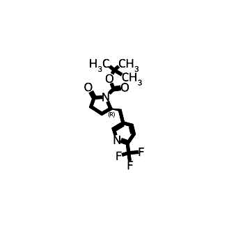 CC(C)(C)OC(=O)N1C(=O)CC[C@@H]1Cc1ccc(C(F)(F)F)nc1